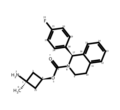 C[C@]1(N)C[C@@H](OC(=O)N2CCc3ccccc3[C@@H]2c2ccc(F)cc2)C1